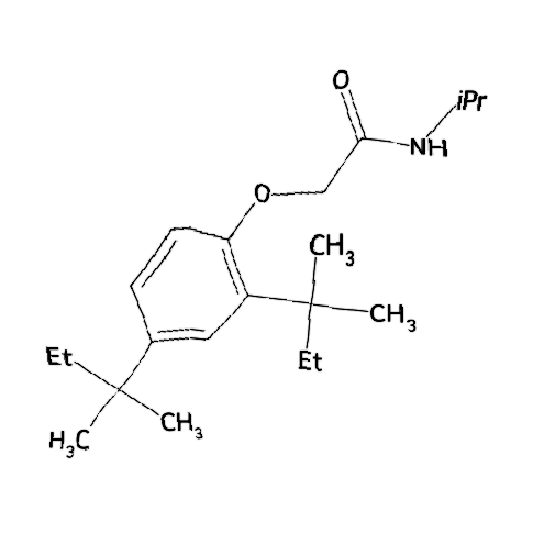 CCC(C)(C)c1ccc(OCC(=O)NC(C)C)c(C(C)(C)CC)c1